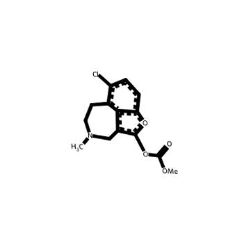 COC(=O)Oc1oc2ccc(Cl)c3c2c1CN(C)CC3